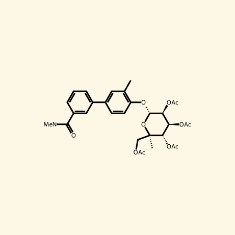 CNC(=O)c1cccc(-c2ccc(O[C@H]3O[C@](C)(COC(C)=O)[C@@H](OC(C)=O)[C@H](OC(C)=O)[C@@H]3OC(C)=O)c(C)c2)c1